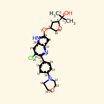 CC(C)(O)[C@@H]1C[C@H](Oc2cc3nc(-c4ccc(N5CCOCC5)cc4)c(Cl)cc3[nH]2)CO1